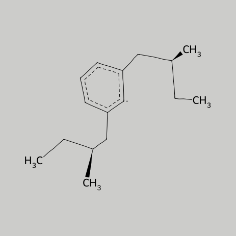 CC[C@H](C)Cc1[c]c(C[C@@H](C)CC)ccc1